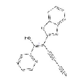 N#CC#C/C(=C(/O)c1cnccn1)c1nc2ccccc2o1